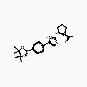 CC(=O)N1CCC[C@H]1c1ncc(-c2ccc(B3OC(C)(C)C(C)(C)O3)cc2)[nH]1